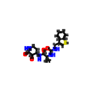 CC(C)C(NC(=O)NCc1csc2ccccc12)C(=O)NC1CCNC(=O)C1=O